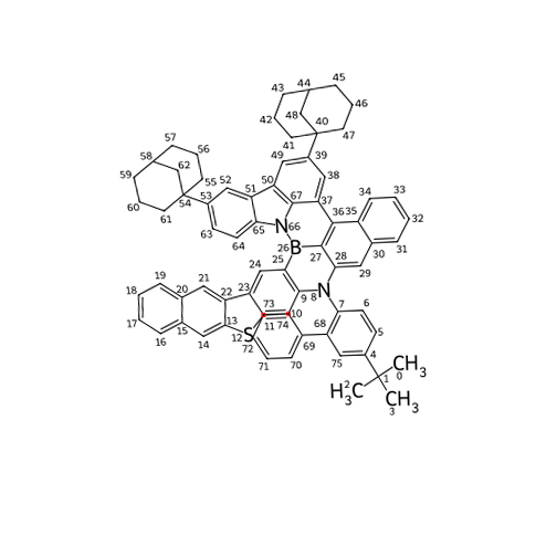 CC(C)(C)c1ccc(N2c3cc4sc5cc6ccccc6cc5c4cc3B3c4c2cc2ccccc2c4-c2cc(C45CCCC(CCC4)C5)cc4c5cc(C67CCCC(CCC6)C7)ccc5n3c24)c(-c2ccccc2)c1